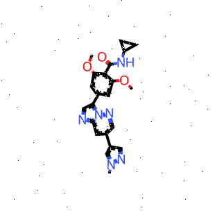 COc1cc(-c2cnc3cc(-c4cnn(C)c4)cnn23)cc(OC)c1C(=O)NC1CC1